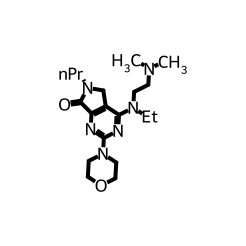 CCCN1Cc2c(nc(N3CCOCC3)nc2N(CC)CCN(C)C)C1=O